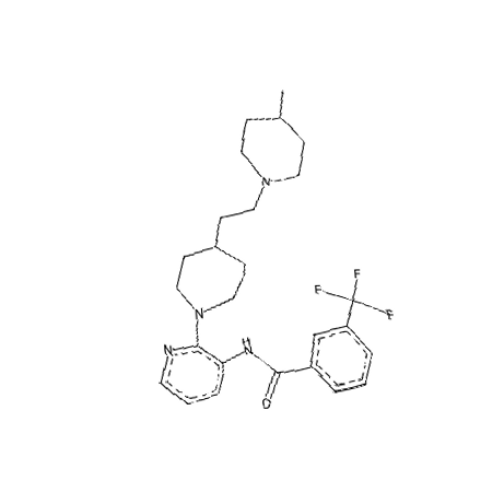 CC1CCN(CCC2CCN(c3ncccc3NC(=O)c3cccc(C(F)(F)F)c3)CC2)CC1